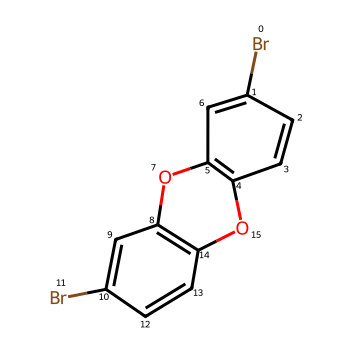 Brc1ccc2c(c1)Oc1cc(Br)ccc1O2